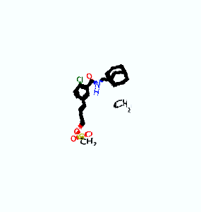 CS(=O)(=O)OCCCc1ccc(Cl)c(C(=O)NCC23CCCC(CCC2)C3)c1.[CH2]